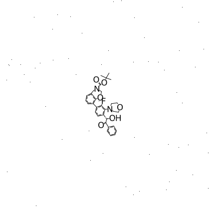 CC(C)(C)OC(=O)N1COc2c(cccc2-c2ccc(C(O)C(=O)c3ccccc3)c(N3CCOCC3)c2F)C1